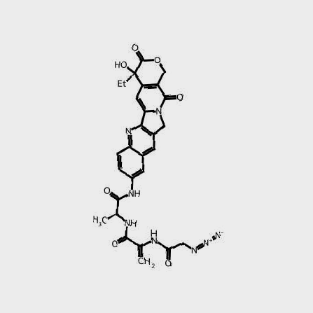 C=C(NC(=O)CN=[N+]=[N-])C(=O)N[C@@H](C)C(=O)Nc1ccc2nc3c(cc2c1)Cn1c-3cc2c(c1=O)COC(=O)[C@]2(O)CC